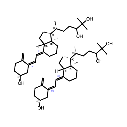 C=C1CC[C@H](O)C/C1=C/C=C1\CCC[C@]2(C)[C@@H]([C@H](C)CCC(O)C(C)(C)O)CC[C@@H]12.C=C1CC[C@H](O)C/C1=C/C=C1\CCC[C@]2(C)[C@@H]([C@H](C)CCC(O)C(C)(C)O)CC[C@@H]12